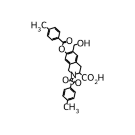 Cc1ccc(C(=O)Oc2cc3c(cc2CO)CC(C(=O)O)N(S(=O)(=O)c2ccc(C)cc2)C3)cc1